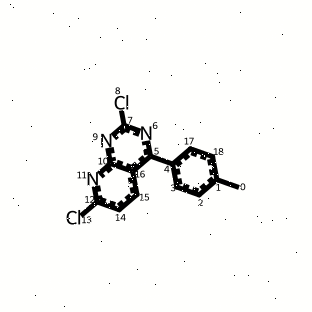 Cc1ccc(-c2nc(Cl)nc3nc(Cl)ccc23)cc1